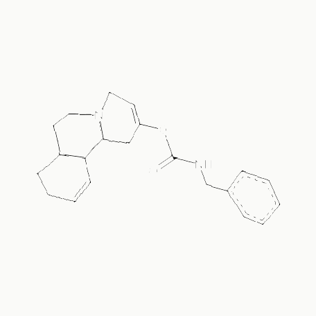 O=C(NCc1ccccc1)OC1=CCN2CCC3CCC=CC3C2C1